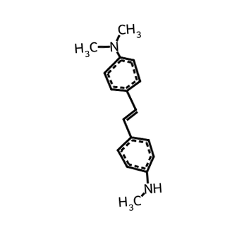 CNc1ccc(C=Cc2ccc(N(C)C)cc2)cc1